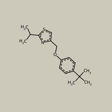 CC(C)c1nc(COc2ccc(C(C)(C)C)cc2)cs1